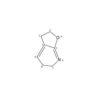 C1=C2CCOC2=NCC1